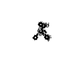 O=C(NCC1CCCCC1)C1CN(c2ccc(F)c(F)c2)CCN1C(=O)c1cc(=O)[nH]c2ccccc12